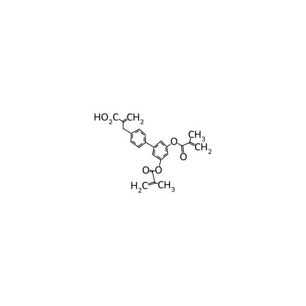 C=C(C)C(=O)Oc1cc(OC(=O)C(=C)C)cc(-c2ccc(CC(=C)C(=O)O)cc2)c1